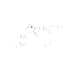 CC(C)(C)OC(=O)N[C@H](c1cn2ncc([C@H](NC[C@@H](N)CC(F)(F)F)C3CC3)cc2n1)C1CCC(F)(F)CC1